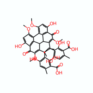 COC1=C(C(C)Cc2c(O)cc(C)c(C(=O)O)c2O)C2c3c(c(O)cc(OC)c3-c3c(OC)cc(O)c4c3C2C(C(C)Cc2c(O)cc(C)c(C(=O)O)c2O)=C(OC)C4=O)C1=O